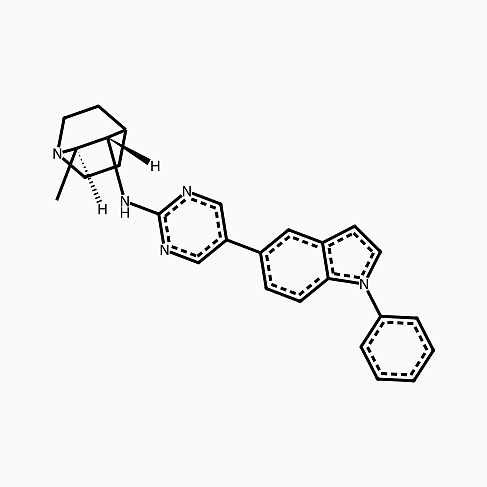 C[C@@H]1[C@@H](Nc2ncc(-c3ccc4c(ccn4-c4ccccc4)c3)cn2)C2CCN1CC2